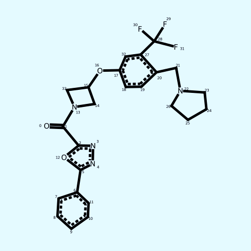 O=C(c1nnc(-c2ccccc2)o1)N1CC(Oc2ccc(CN3CCCC3)c(C(F)(F)F)c2)C1